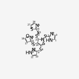 c1c[nH]c(SN2SC(Sc3cc[nH]n3)=C(Sc3ccon3)C2SSc2nccs2)n1